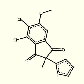 COc1cc2c(c(Cl)c1Cl)C(=O)C(C)(c1cccs1)C2=O